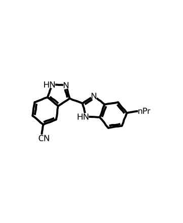 CCCc1ccc2[nH]c(-c3n[nH]c4ccc(C#N)cc34)nc2c1